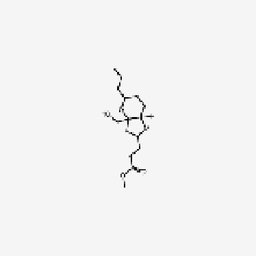 CCCC1CC[C@@H]2O[C@@H](CCC(=O)OC)CC2(CO)O1